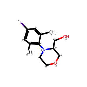 Cc1cc(I)cc(C)c1N1CCOCC1CO